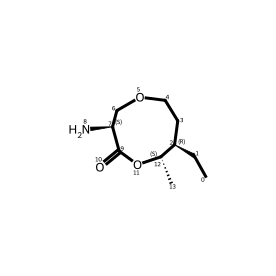 CC[C@@H]1CCOC[C@H](N)C(=O)O[C@H]1C